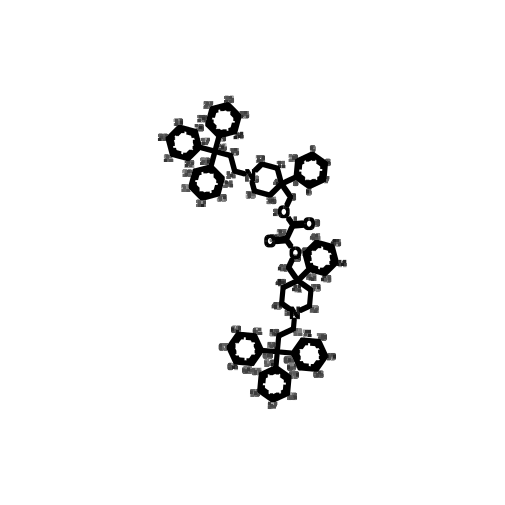 O=C(OCC1(c2ccccc2)CCN(CCC(c2ccccc2)(c2ccccc2)c2ccccc2)CC1)C(=O)OCC1(c2ccccc2)CCN(CCC(c2ccccc2)(c2ccccc2)c2ccccc2)CC1